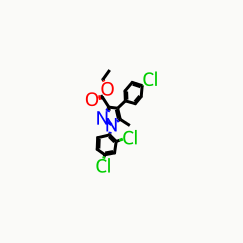 CCOC(=O)c1nn(-c2ccc(Cl)cc2Cl)c(C)c1-c1ccc(Cl)cc1